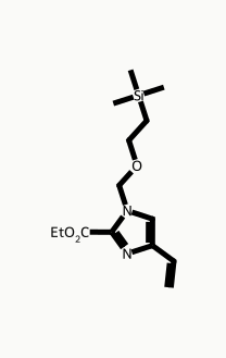 C=Cc1cn(COCC[Si](C)(C)C)c(C(=O)OCC)n1